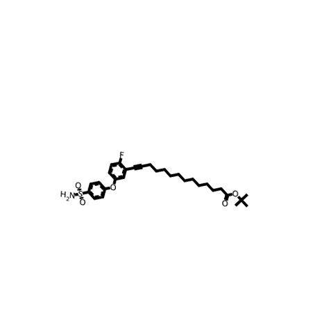 CC(C)(C)OC(=O)CCCCCCCCCCCC#Cc1cc(Oc2ccc(S(N)(=O)=O)cc2)ccc1F